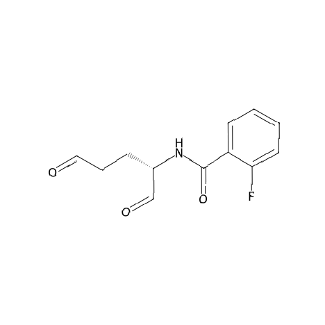 O=CCC[C@@H](C=O)NC(=O)c1ccccc1F